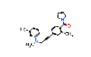 Cc1cc(C#CCN(C)c2cccc(C#N)c2)ccc1C(=O)N1CC=CC1